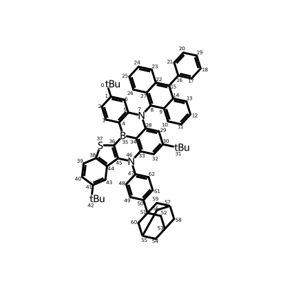 CC(C)(C)c1ccc2c(c1)N(c1c3ccccc3c(-c3ccccc3)c3ccccc13)c1cc(C(C)(C)C)cc3c1B2c1sc2ccc(C(C)(C)C)cc2c1N3c1ccc(C23CC4CC(CC(C4)C2)C3)cc1